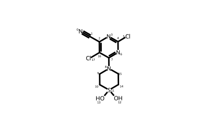 N#Cc1nc(Cl)nc(N2CCS(O)(O)CC2)c1Cl